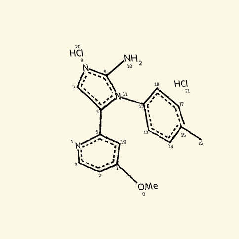 COc1ccnc(-c2cnc(N)n2-c2ccc(C)cc2)c1.Cl.Cl